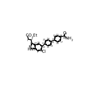 CCOC(=O)CCc1n[nH]c2cc(Cl)c(-c3ccc(-c4ccc(C(N)=O)cc4)cc3)cc12